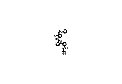 Cn1cc(C(=O)Nc2cccc(-n3nc(Nc4ccc5c(cnn5C5CCCCO5)c4Cl)c4ncccc43)c2)cn1